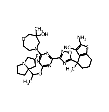 CC(Oc1nc(-c2noc([C@@]3(C)CCCc4sc(N)c(C#N)c43)n2)nc(N2CCOCC(C)(O)C2)n1)[C@@]12CCCN1C[C@H](F)C2